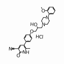 COc1ccccc1N1CCN(CC(O)COc2ccc(-c3cc(C#N)c(=O)[nH]c3C)cc2)CC1.Cl